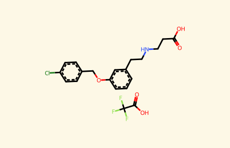 O=C(O)C(F)(F)F.O=C(O)CCNCCc1cccc(OCc2ccc(Cl)cc2)c1